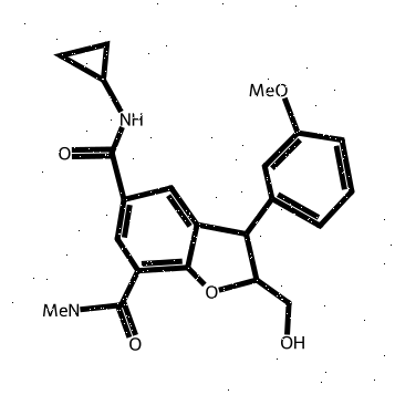 CNC(=O)c1cc(C(=O)NC2CC2)cc2c1OC(CO)C2c1cccc(OC)c1